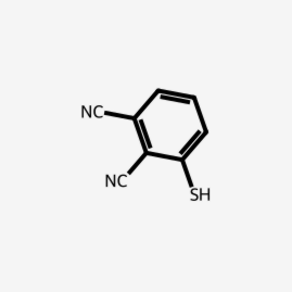 N#Cc1cccc(S)c1C#N